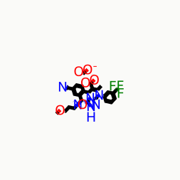 COCCC[N+](C)(C)Cc1cc(C#N)ccc1C1C(C(=O)OC)=C(C)N(c2cccc(C(F)(F)F)c2)c2n[nH]c(=O)n21.O=C[O-]